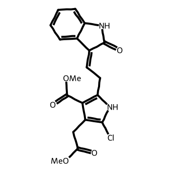 COC(=O)Cc1c(Cl)[nH]c(CC=C2C(=O)Nc3ccccc32)c1C(=O)OC